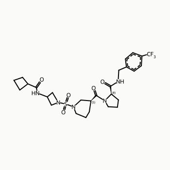 O=C(NC1CN(S(=O)(=O)N2CCC[C@H](C(=O)N3CCC[C@@H]3C(=O)NCc3ccc(C(F)(F)F)cc3)C2)C1)C1CCC1